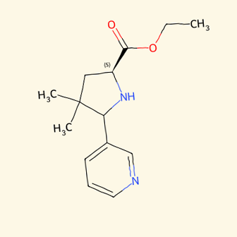 CCOC(=O)[C@@H]1CC(C)(C)C(c2cccnc2)N1